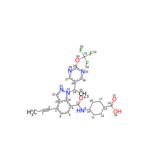 CC#Cc1ccc(C(=O)NC2CCC(C(=O)O)CC2)c2c1cnn2C(C)c1cnc(OC(F)(F)F)nc1